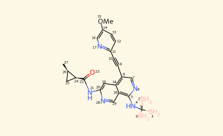 BC(B)(B)Nc1ncc(C#Cc2ccc(OC)cn2)c2cc(NC(=O)[C@H]3C[C@H]3C)ncc12